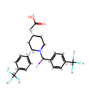 O=C(O)C[C@@H]1CCN([C@H](I)c2ccc(C(F)(F)F)cc2)[C@H](c2ccc(C(F)(F)F)cc2)C1